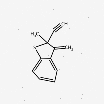 C#CC1(C)Sc2ccccc2C1=C